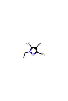 CC(=O)Cn1nc(C)c(C(C)C)c1C